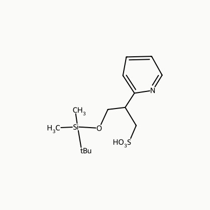 CC(C)(C)[Si](C)(C)OCC(CS(=O)(=O)O)c1ccccn1